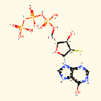 O=P(O)(O)OP(=O)(O)OP(=O)(O)OC[C@H]1O[C@@H](n2cnc3c(O)ncnc32)[C@H](S)[C@@H]1O